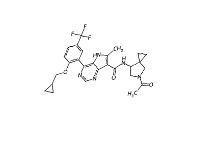 CC(=O)N1CC(NC(=O)c2c(C)[nH]c3c(-c4cc(C(F)(F)F)ccc4OCC4CC4)ncnc23)C2(CC2)C1